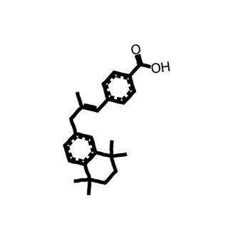 CC(=Cc1ccc(C(=O)O)cc1)Cc1ccc2c(c1)C(C)(C)CCC2(C)C